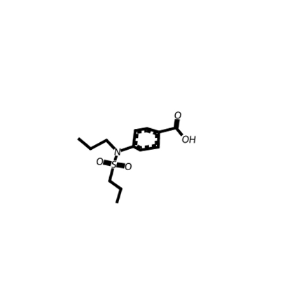 CCCN(c1ccc(C(=O)O)cc1)S(=O)(=O)CCC